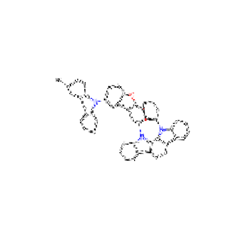 N#Cc1ccc2c(c1)c1ccccc1n2-c1ccc2oc3ccc(-n4c5ccccc5c5ccc6c7ccccc7n(-c7ccccc7)c6c54)cc3c2c1